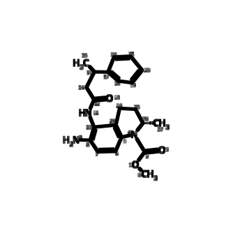 COC(=O)N1c2ccc(N)c(NC(=O)CC(C)c3ccccc3)c2CC[C@@H]1C